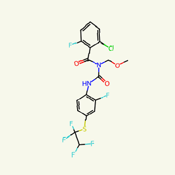 COCN(C(=O)Nc1ccc(SC(F)(F)C(F)F)cc1F)C(=O)c1c(F)cccc1Cl